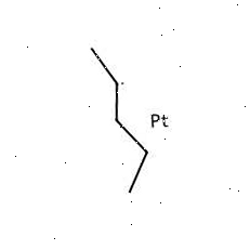 C[CH]CCC.[Pt]